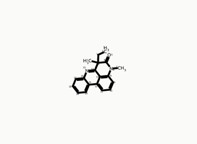 CCC1(C)C(=O)N(C)c2cccc3c2c1nc1ccccc13